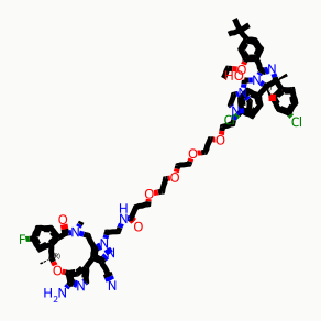 CCOc1cc(C(C)(C)C)ccc1C1=N[C@](C)(c2ccc(Cl)cc2)[C@](C)(c2ccc(Cl)cc2)N1C(O)N1CCN(CCOCCOCCOCCOCCC(=O)NCCn2nc(C#N)c3c2CN(C)C(=O)c2ccc(F)cc2[C@@H](C)Oc2cc-3cnc2N)CC1